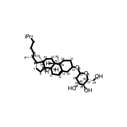 CC(C)CCC[C@@H](C)[C@H]1CC[C@H]2[C@@H]3CC=C4CC(OC5C[C@@H](O)[C@H](O)[C@@H](CO)O5)CC[C@]4(C)[C@H]3CC[C@]12C